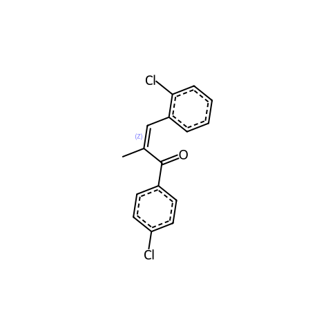 C/C(=C/c1ccccc1Cl)C(=O)c1ccc(Cl)cc1